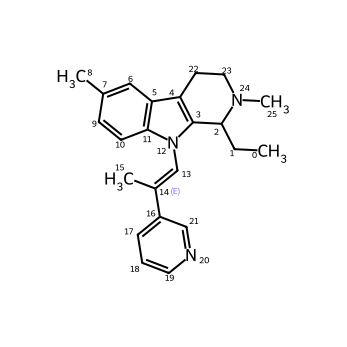 CCC1c2c(c3cc(C)ccc3n2/C=C(\C)c2cccnc2)CCN1C